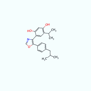 CC(C)Cc1ccc(-c2ocnc2-c2cc(C(C)C)c(O)cc2O)cc1